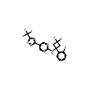 Fc1ccccc1C1(Nc2ncc(-c3noc(C(F)(F)F)n3)cn2)CC(F)(F)C1